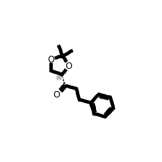 CC1(C)OC[C@@H](C(=O)CCc2ccccc2)O1